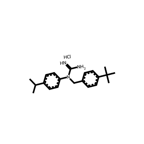 CC(C)c1ccc(N(Cc2ccc(C(C)(C)C)cc2)C(=N)N)cc1.Cl